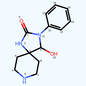 O=C1NC2(CCNCC2)C(O)N1c1ccccc1